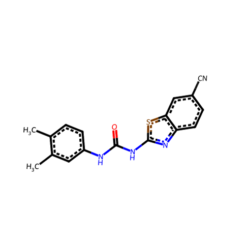 Cc1ccc(NC(=O)Nc2nc3ccc(C#N)cc3s2)cc1C